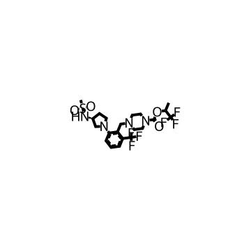 CC(OC(=O)N1CCN(Cc2c(N3CC[C@H](NS(C)(=O)=O)C3)cccc2C(F)(F)F)CC1)C(F)(F)F